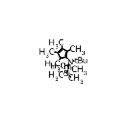 CC1=C(C)C(C)C([N](C(C)(C)C)[Ti]([CH3])([CH3])[SiH](C)C)=C1C